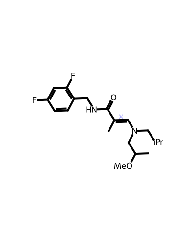 COC(C)CN(/C=C(\C)C(=O)NCc1ccc(F)cc1F)CC(C)C